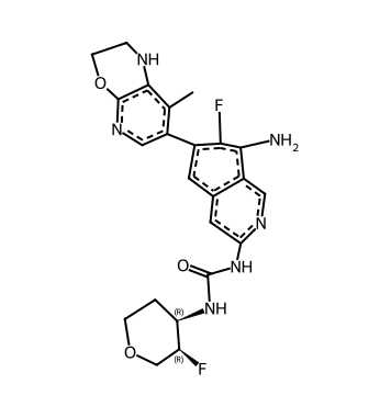 Cc1c(-c2cc3cc(NC(=O)N[C@@H]4CCOC[C@@H]4F)ncc3c(N)c2F)cnc2c1NCCO2